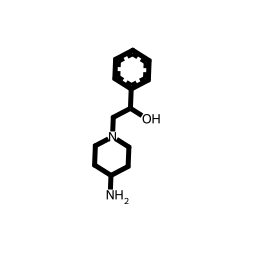 NC1CCN(CC(O)c2ccccc2)CC1